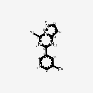 Fc1cncc(-c2nc(I)n3nccc3n2)c1